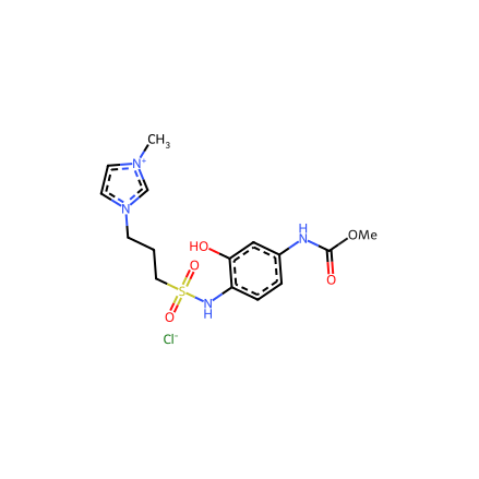 COC(=O)Nc1ccc(NS(=O)(=O)CCCn2cc[n+](C)c2)c(O)c1.[Cl-]